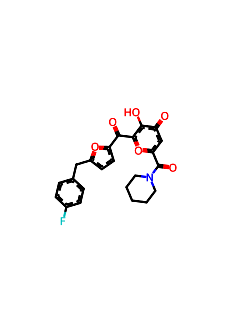 O=C(c1ccc(Cc2ccc(F)cc2)o1)c1oc(C(=O)N2CCCCC2)cc(=O)c1O